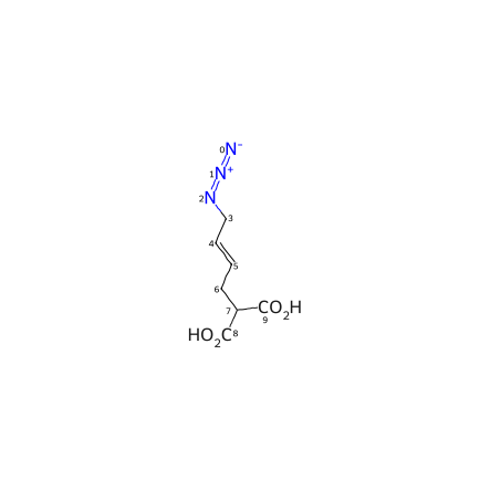 [N-]=[N+]=NCC=CCC(C(=O)O)C(=O)O